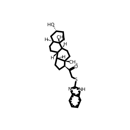 C[C@]12CC[C@@H](O)C[C@@H]1CC[C@@H]1[C@@H]2CC[C@]2(C)[C@@H](C(=O)CSc3nc4ccccc4[nH]3)CC[C@@H]12